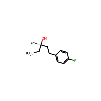 CC(C)[C@](O)(CCc1ccc(F)cc1)CC(=O)O